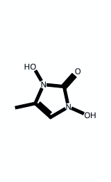 Cc1cn(O)c(=O)n1O